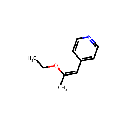 CCOC(C)=Cc1ccncc1